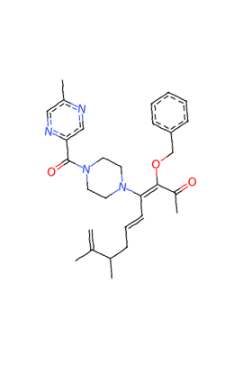 C=C(C)C(C)C/C=C/C(=C(/OCc1ccccc1)C(C)=O)N1CCN(C(=O)c2cnc(C)cn2)CC1